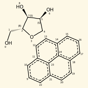 OC[C@H]1OC[C@H](O)[C@@H]1O.c1cc2ccc3cccc4ccc(c1)c2c34